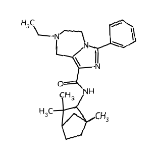 CCN1CCn2c(-c3ccccc3)nc(C(=O)NC3C4(C)CCC(C4)C3(C)C)c2C1